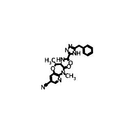 C[C@H]1Oc2cc(C#N)cnc2N(C)C(=O)[C@H]1NC(=O)c1nnc(Cc2ccccc2)[nH]1